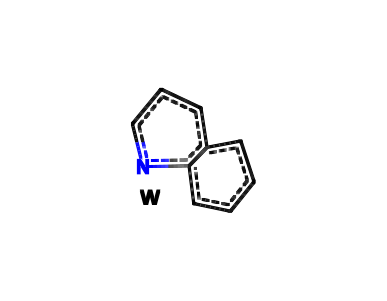 [W].c1ccc2ncccc2c1